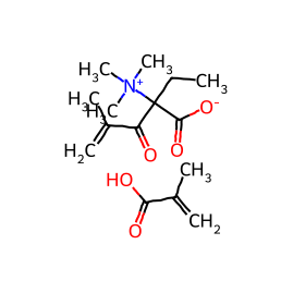 C=C(C)C(=O)C(CC)(C(=O)[O-])[N+](C)(C)C.C=C(C)C(=O)O